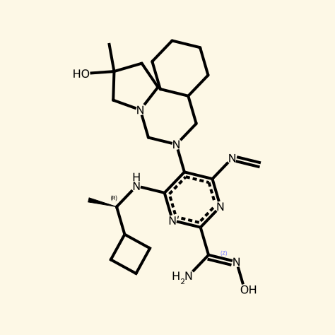 C=Nc1nc(/C(N)=N/O)nc(N[C@H](C)C2CCC2)c1N(CC1CCCCC1)CN1CCC(C)(O)C1